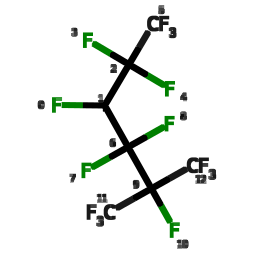 F[C](C(F)(F)C(F)(F)F)C(F)(F)C(F)(C(F)(F)F)C(F)(F)F